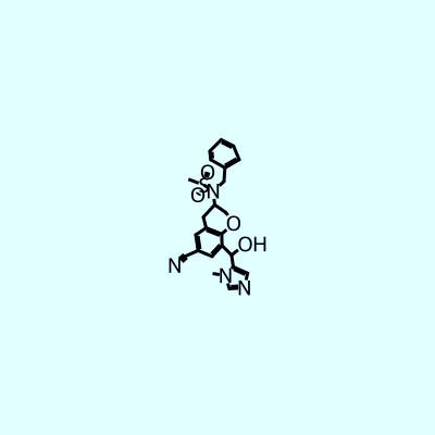 Cn1cncc1C(O)c1cc(C#N)cc2c1OCC(N(Cc1ccccc1)S(C)(=O)=O)C2